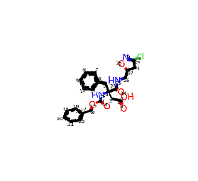 O=C(O)C[C@](Cc1ccccc1)(NC(=O)OCc1ccccc1)C(=O)NCC1CC(Cl)=NO1